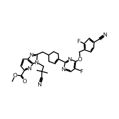 COC(=O)c1ccc2nc(CC3CC=C(c4ncc(F)c(OCc5ccc(C#N)cc5F)n4)CC3)n(CC(C)(C)C#N)c2n1